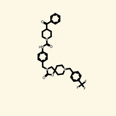 O=C(c1ccccc1)C1CCN(C(=O)Nc2ccc(CN3CC4(CCN(Cc5ccc(C(F)(F)F)cc5)CC4)OC3=O)cc2)CC1